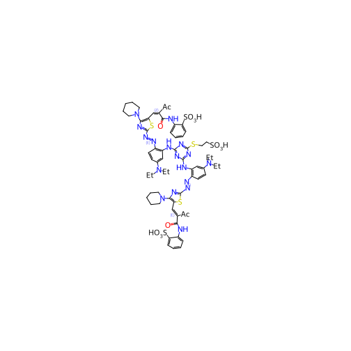 CCN(CC)c1ccc(/N=N/c2nc(N3CCCCC3)c(/C=C(/C(C)=O)C(=O)Nc3ccccc3S(=O)(=O)O)s2)c(Nc2nc(Nc3cc(N(CC)CC)ccc3/N=N/c3nc(N4CCCCC4)c(/C=C(\C(C)=O)C(=O)Nc4ccccc4S(=O)(=O)O)s3)nc(SCCS(=O)(=O)O)n2)c1